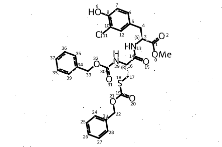 COC(=O)[C@H](Cc1ccc(O)c(Cl)c1)NC(=O)[C@H](CSC(=O)OCc1ccccc1)NC(=O)OCc1ccccc1